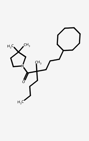 CCCCC(C)(CCCC1CCCCCCC1)C(=O)N1CCC(C)(C)C1